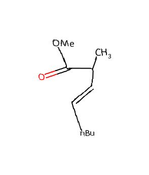 CCCCC=CC(C)C(=O)OC